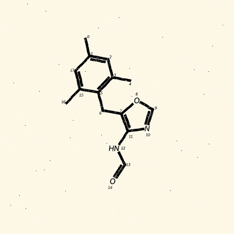 Cc1cc(C)c(Cc2ocnc2NC=O)c(C)c1